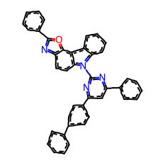 c1ccc(-c2ccc(-c3cc(-c4ccccc4)nc(-n4c5ccccc5c5c6oc(-c7ccccc7)nc6ccc54)n3)cc2)cc1